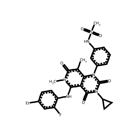 CCc1ccc(Nc2c3c(=O)n(C4CC4)c(=O)n(-c4cccc(NS(C)(=O)=O)c4)c3c(C)c(=O)n2C)c(F)c1